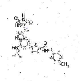 Cc1cnc(CNC(=O)C2=CCC(c3cc(NC4CC4)n4ncc(/C=C5\NC(=O)NC5=O)c4n3)S2)cn1